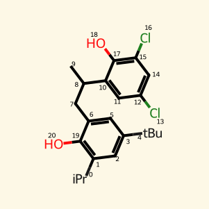 CC(C)c1cc(C(C)(C)C)cc(CC(C)c2cc(Cl)cc(Cl)c2O)c1O